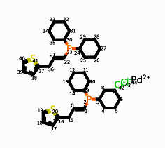 C(=CP(C1CCCCC1)C1CCCCC1)Cc1cccs1.C(=CP(C1CCCCC1)C1CCCCC1)Cc1cccs1.[Cl-].[Cl-].[Pd+2]